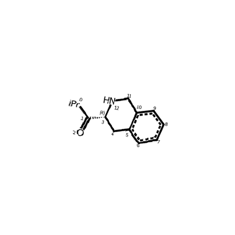 CC(C)C(=O)[C@H]1Cc2ccccc2CN1